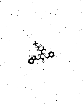 CC(C)C(NC(=O)OC(C)(C)C)C(=O)NC(Cc1c[nH]c2ccccc12)C(=O)OCc1ccccc1